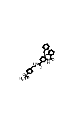 NS(=O)(=O)c1ccc(CCNC(=O)c2ccc3c(c2)NC(=O)c2ccccc2N3Cc2ccccc2)cc1